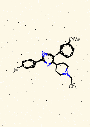 COc1cccc(-c2cnc(-c3ccc(C#N)cc3)nc2C2CCN(CC(F)(F)F)CC2)c1